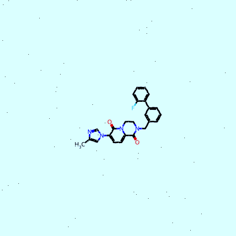 Cc1cn(-c2ccc3n(c2=O)CCN(Cc2cccc(-c4ccccc4F)c2)C3=O)cn1